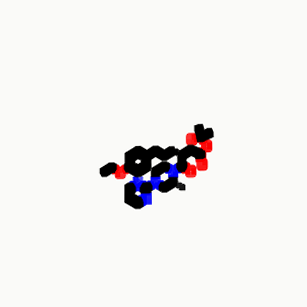 CCOc1ccc(CCC[C@@H](C(=O)N2CCN(c3ncccn3)C[C@H]2C)[C@@H]2OC(C)(C)OC2=O)cc1